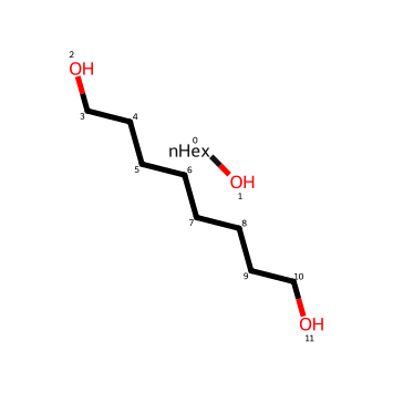 CCCCCCO.OCCCCCCCCO